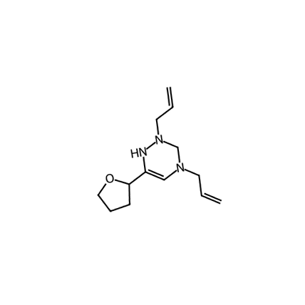 C=CCN1C=C(C2CCCO2)NN(CC=C)C1